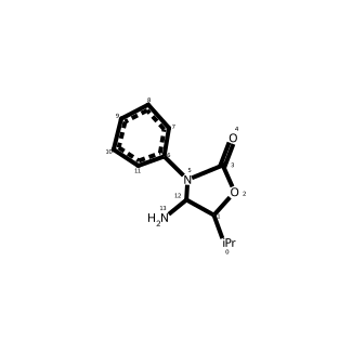 CC(C)C1OC(=O)N(c2ccccc2)C1N